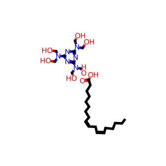 CCCCC/C=C\C/C=C\CCCCCCCC(=O)O.OCN(CO)c1nc(N(CO)CO)nc(N(CO)CO)n1